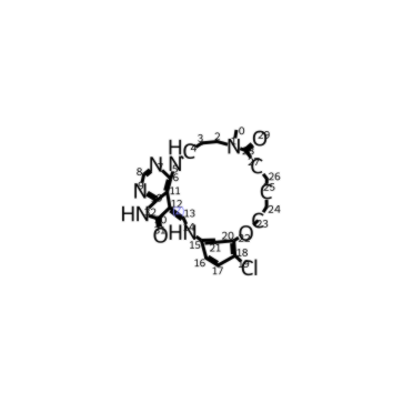 CN1CCCNc2ncnc3c2/C(=C/Nc2ccc(Cl)c(c2)OCCCCCC1=O)C(=O)N3